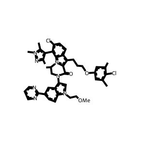 COCCn1cc(N2CC(C)n3c(c(CCCOc4cc(C)c(Cl)c(C)c4)c4ccc(Cl)c(-c5c(C)nn(C)c5C)c43)C2=O)c2cc(-c3ncccn3)ccc21